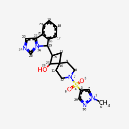 Cn1cc(S(=O)(=O)N2CCC3(CC2)CC(C2c4ccccc4-c4cncn42)C3O)cn1